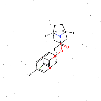 O=C(COc1ccc(C(F)(F)F)cc1)N1[C@@H]2CC[C@H]1CC(Oc1ccc(F)cc1)C2